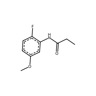 CCC(=O)Nc1cc(OC)ccc1F